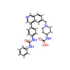 O=C(O)NC1CCN(Cc2ccc3cncc(-c4ccc(NC(=O)Nc5ccccc5)cc4)c3c2)CC1